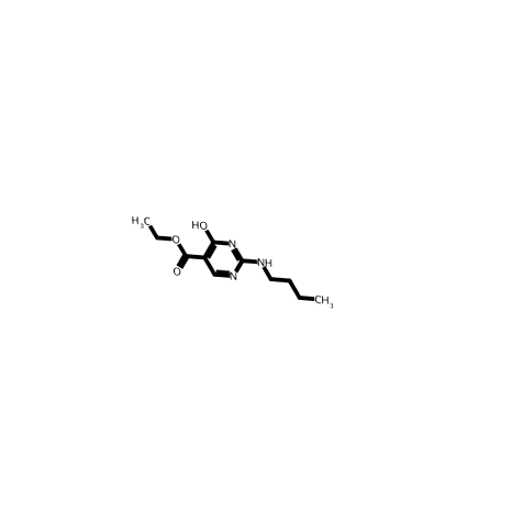 CCCCNc1ncc(C(=O)OCC)c(O)n1